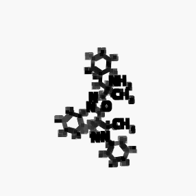 Cc1c(-c2nnc([C@](C)(N)Cc3ccccc3)o2)c(-c2ccccc2)nn1-c1ccccc1